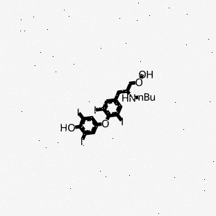 CCCCNC(COO)Cc1cc(I)c(Oc2cc(I)c(O)c(I)c2)c(I)c1